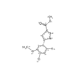 COC(=O)c1cc(-c2cc(OC)c(Cl)cc2F)ns1